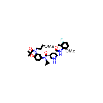 COCCCN1C(=O)C(C)(C)Oc2ccc(N(C(=O)[C@H]3CNC[C@@H](C(=O)Nc4c(OC)ccc(F)c4C)C3)C3CC3)cc21